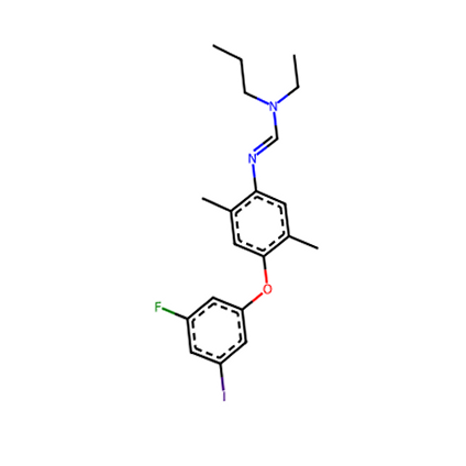 CCCN(C=Nc1cc(C)c(Oc2cc(F)cc(I)c2)cc1C)CC